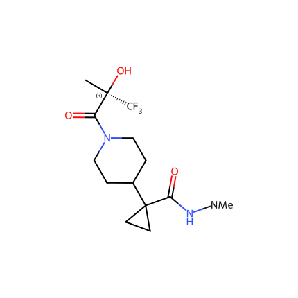 CNNC(=O)C1(C2CCN(C(=O)[C@@](C)(O)C(F)(F)F)CC2)CC1